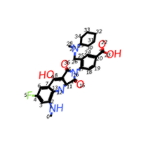 CNc1cc(F)cc2c(O)c3c(nc12)C(=O)N(c1ccc(C(=O)O)cc1CN(C)C1CCCCC1)C3=O